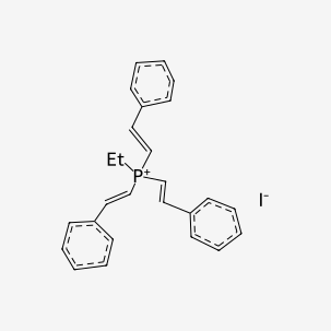 CC[P+](C=Cc1ccccc1)(C=Cc1ccccc1)C=Cc1ccccc1.[I-]